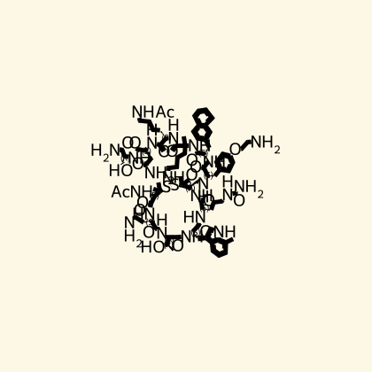 CC(=O)NCCCC[C@H](NC(=O)C(C)(CCCCN)NC(=O)[C@H](Cc1ccc2ccccc2c1)NC(=O)[C@H](Cc1ccc(OCCN)cc1)NC(=O)[C@H]1NC(=O)[C@H](CCCNC(N)=O)NC(=O)[C@H](Cc2c[nH]c3c(C)cccc23)NC(=O)[C@H]([C@@H](C)O)NC(=O)[C@H](CC(N)=O)NC(=O)[C@@H](NC(C)=O)C(C)(C)SSC1(C)C)C(=O)N[C@@H](CC(N)=O)C(=O)N[C@H](CO)C(N)=O